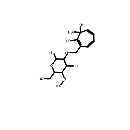 CC(C)(C)OC1C(CO)OC(C(C)(C)C)C(NCC2=C(O)C(C)(S)C=CC=C2)C1O